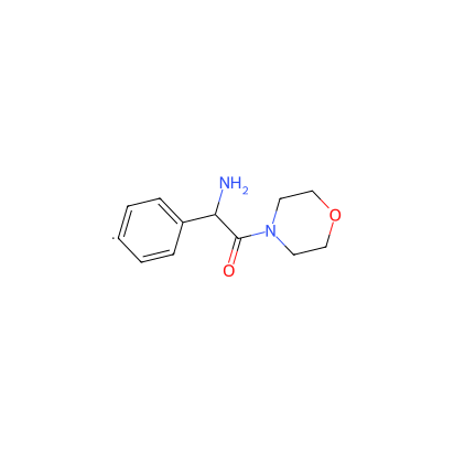 NC(C(=O)N1CCOCC1)c1cc[c]cc1